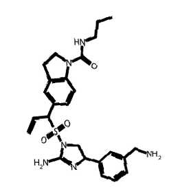 C=CC(c1ccc2c(c1)CCN2C(=O)NCCC)S(=O)(=O)N1CC(c2cccc(CN)c2)N=C1N